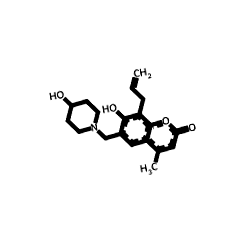 C=CCc1c(O)c(CN2CCC(O)CC2)cc2c(C)cc(=O)oc12